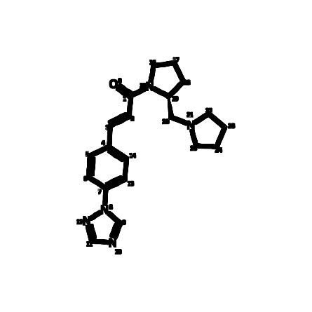 O=C(/C=C/c1ccc(-n2cncn2)cc1)N1CCC[C@H]1CN1CCCC1